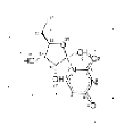 C[C@@]1(n2ccc(=O)[nH]c2=O)O[C@H](CI)[C@@H](O)[C@H]1O